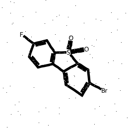 O=S1(=O)c2cc(F)ccc2-c2ccc(Br)cc21